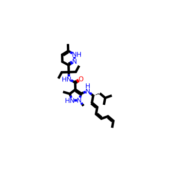 C\C=C/C=C\C=C\[C@@H](CC(C)C)NC1=C(C(=O)NC(CC)(CC)C2=NNC(C)=CC2)C(C)NN1C